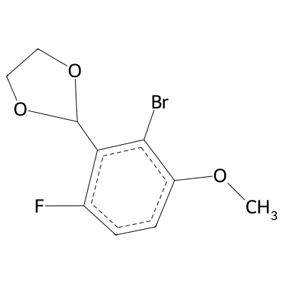 COc1ccc(F)c(C2OCCO2)c1Br